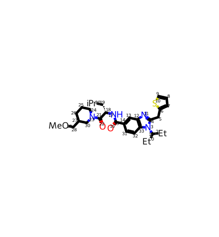 CCC(CC)n1c(Cc2cccs2)nc2cc(C(=O)N[C@@H](CC(C)C)C(=O)N3CCCC(COC)C3)ccc21